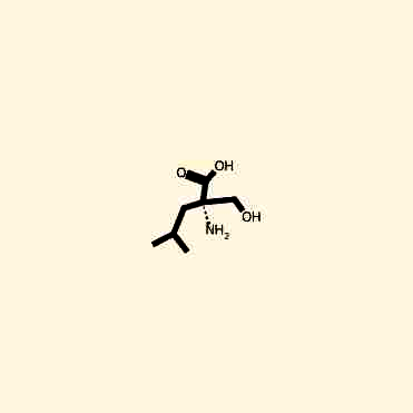 CC(C)C[C@](N)(CO)C(=O)O